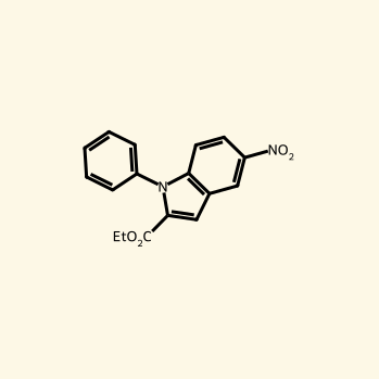 CCOC(=O)c1cc2cc([N+](=O)[O-])ccc2n1-c1ccccc1